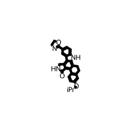 CC(C)Oc1ccc2c(c1)CCc1c-2c2c(c3c1[nH]c1ccc(C4=NCCO4)cc13)CNC2=O